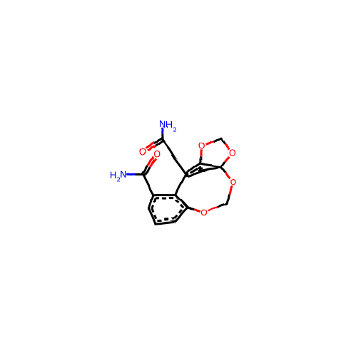 NC(=O)c1cccc2c1C1=C3OCOC3(C=CC1C(N)=O)OCO2